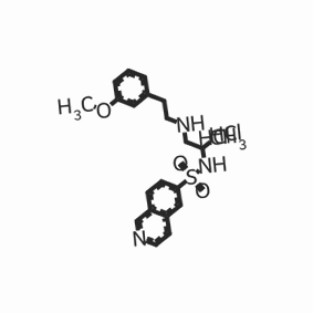 COc1cccc(CCNCC(C)NS(=O)(=O)c2ccc3cnccc3c2)c1.Cl.Cl